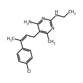 CCNc1nc(C)c(CC=C(C)c2ccc(Cl)cc2)c(N)n1